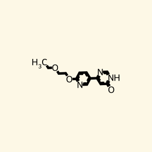 CCOCCOc1ccc(-c2cc(=O)[nH]cn2)cn1